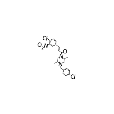 CC1CN(C(=O)C=Cc2ccc(Cl)c([N+](=O)[O-])c2)C(C)CN1Cc1ccc(Cl)cc1